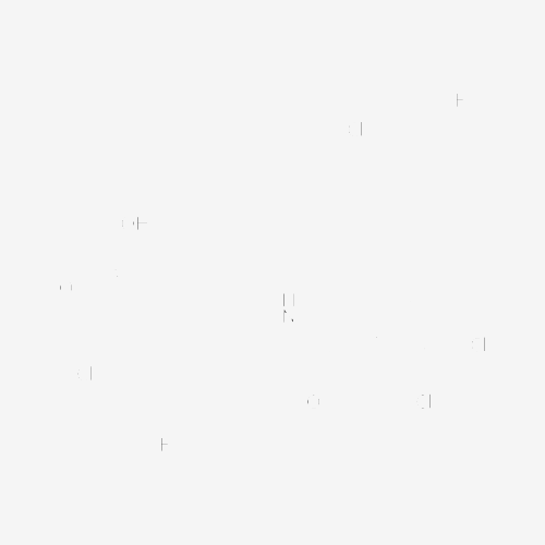 O=C(O)c1cc(NC(=O)C2C(c3ccc(F)c(Cl)c3)C2(Cl)Cl)cc(F)c1Cl